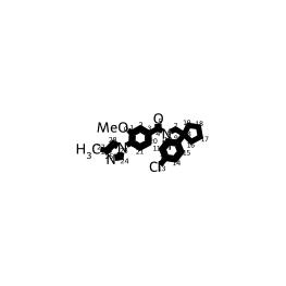 COc1cc(C(=O)NCC2(c3ccc(Cl)cc3)CCCC2)ccc1-n1cnc(C)c1